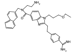 CCOCCCn1c(CCc2ccc(C(=N)N)cc2)nc2cc(C(=O)N(CCN)Cc3ccc4ccccc4c3)ccc21